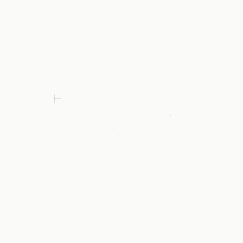 OCCOC1CC2C=CC1C2